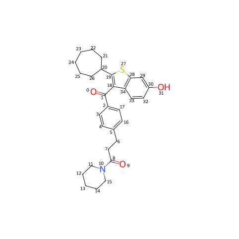 O=C(c1ccc(CCC(=O)N2CCCCC2)cc1)c1c(C2CCCCCC2)sc2cc(O)ccc12